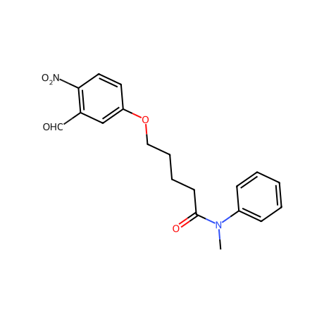 CN(C(=O)CCCCOc1ccc([N+](=O)[O-])c(C=O)c1)c1ccccc1